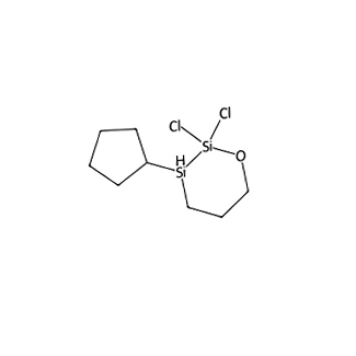 Cl[Si]1(Cl)OCCC[SiH]1C1CCCC1